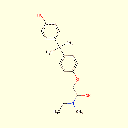 CCN(C)C(O)COc1ccc(C(C)(C)c2ccc(O)cc2)cc1